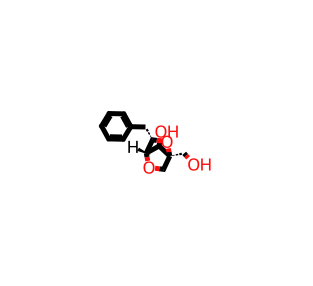 OC[C@]12CO[C@@H](C1O)[C@H](Cc1ccccc1)O2